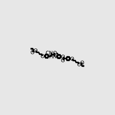 [C-]#[N+]/C(=C\c1ccc(OCCCCOC(=O)C=C)cc1)C(=O)Nc1ccc(OC(=O)c2ccc(OCCCCOC(=O)C=C)cc2)cc1C